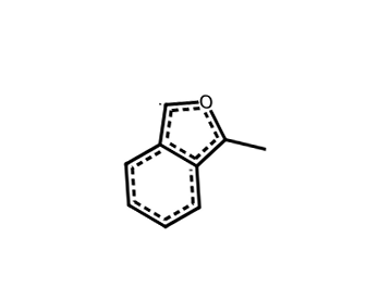 Cc1o[c]c2ccccc12